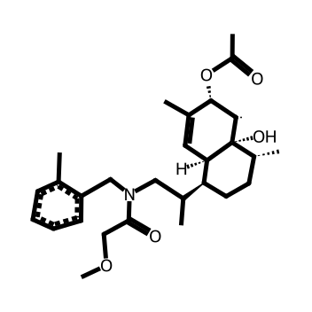 COCC(=O)N(Cc1ccccc1C)CC(C)[C@@H]1CC[C@@H](C)[C@]2(O)[CH][C@@H](OC(C)=O)C(C)=C[C@H]12